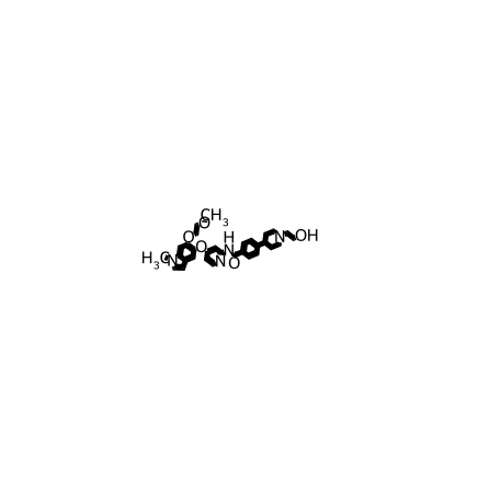 COCCOc1cc2c(ccn2C)cc1Oc1ccnc(NC(=O)c2ccc(C3CCN(CCO)CC3)cc2)c1